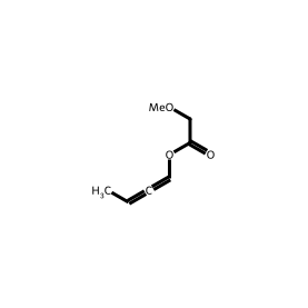 CC=C=COC(=O)COC